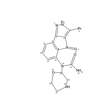 CC(C)c1[nH]nc2c1C(=O)c1c-2cccc1N(C(N)=O)C1CNCCO1